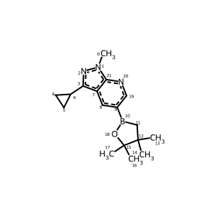 Cn1nc(C2CC2)c2cc(B3CC(C)(C)C(C)(C)O3)cnc21